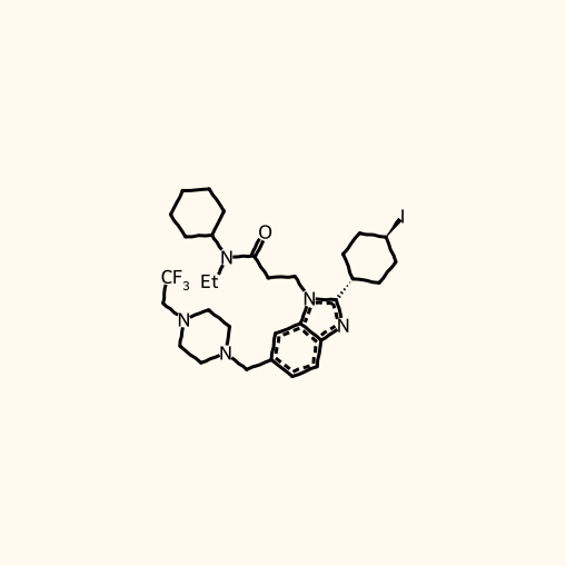 CCN(C(=O)CCn1c2cc(CN3CCN(CC(F)(F)F)CC3)ccc2nc1[C@H]1CC[C@H](I)CC1)C1CCCCC1